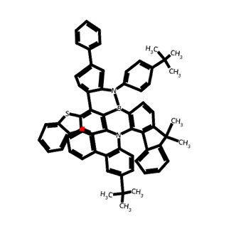 CC(C)(C)c1ccc(N2B3c4ccc5c(c4N(c4ccc(C(C)(C)C)cc4-c4ccccc4)c4cc6c(sc7ccccc76)c(c43)-c3ccc(-c4ccccc4)cc32)-c2ccccc2C5(C)C)cc1